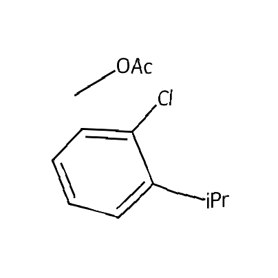 CC(C)c1ccccc1Cl.COC(C)=O